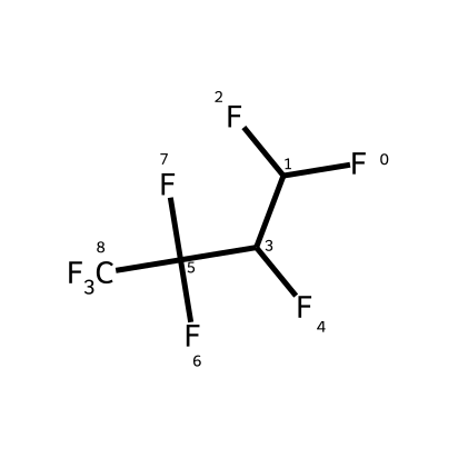 FC(F)C(F)C(F)(F)C(F)(F)F